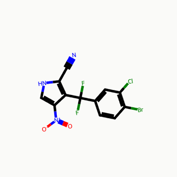 N#Cc1[nH]cc([N+](=O)[O-])c1C(F)(F)c1ccc(Br)c(Cl)c1